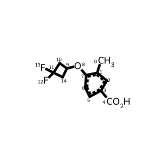 Cc1cc(C(=O)O)ccc1OC1CC(F)(F)C1